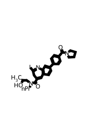 CCCN(C[C@@H](C)O)C(=O)C1=Cc2ccc(-c3ccc(C(=O)N4CCCC4)cc3)cc2N=C(I)C1